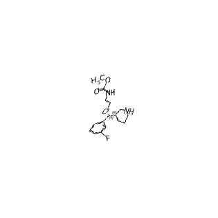 COC(=O)NCCO[C@@H](c1cccc(F)c1)[C@@H]1CCCNC1